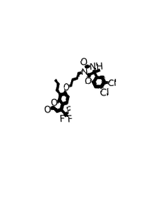 CCCc1c(OCCCCN2C(=O)NC(C)(c3ccc(Cl)c(Cl)c3)C2=O)ccc2c(C(F)(F)F)cc(=O)oc12